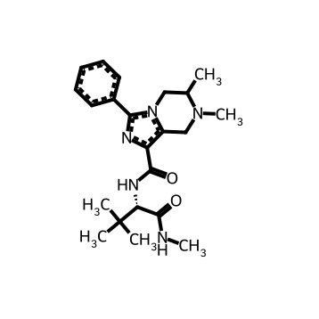 CNC(=O)[C@@H](NC(=O)c1nc(-c2ccccc2)n2c1CN(C)C(C)C2)C(C)(C)C